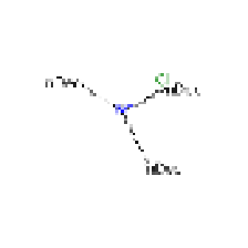 CCCCCCCCCCCCCCCCCCCCCCC[N+](C)(CCCCCCCCCCCCCCCCCCCC)CCCCCCCCCCCCCCCCCCCC.[Cl-]